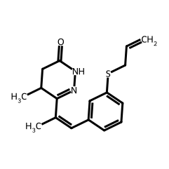 C=CCSc1cccc(C=C(C)C2=NNC(=O)CC2C)c1